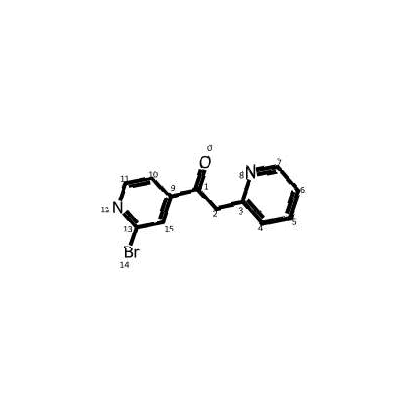 O=C(Cc1ccccn1)c1ccnc(Br)c1